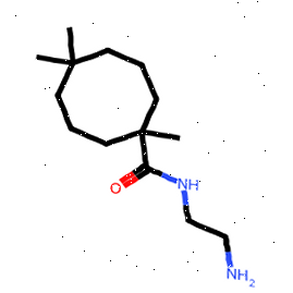 CC1(C)CCCC(C)(C(=O)NCCN)CCC1